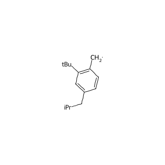 [CH2]c1ccc(CC(C)C)cc1C(C)(C)C